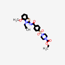 C#CCn1/c(=N/C(=O)c2ccc(S(=O)(=O)N3CCN(C(=O)OCC)CC3)cc2)sc2cccc(OC)c21